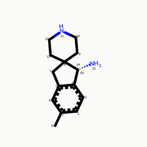 Cc1ccc2c(c1)CC1(CCNCC1)[C@@H]2N